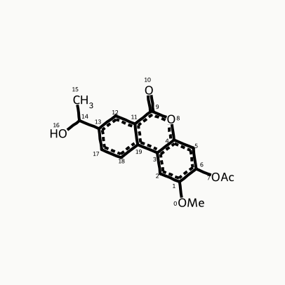 COc1cc2c(cc1OC(C)=O)oc(=O)c1cc(C(C)O)ccc12